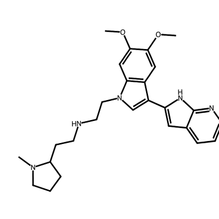 COc1cc2c(-c3cc4cccnc4[nH]3)cn(CCNCCC3CCCN3C)c2cc1OC